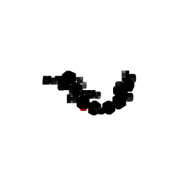 CNC(=O)c1ccccc1Nc1nc(Nc2cc(C)c(C3CCN(CC4CCN(c5ccc6c(c5)C(=O)N(C5CCC(=O)NC5=O)C6=O)CC4)CC3)cc2OC)ncc1C(F)(F)F